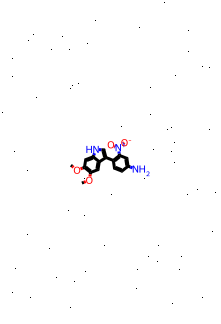 COc1cc2[nH]cc(-c3ccc(N)cc3[N+](=O)[O-])c2cc1OC